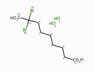 Cl.Cl.O=C(O)CCCCCCC(Br)(Br)C(=O)O